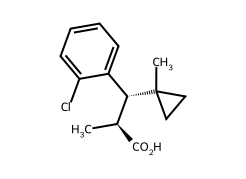 C[C@H](C(=O)O)[C@H](c1ccccc1Cl)C1(C)CC1